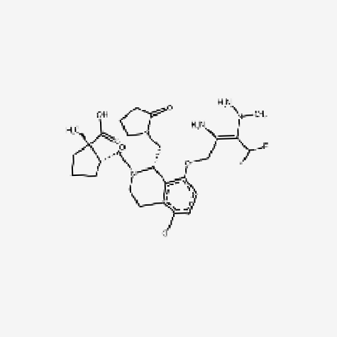 CN(N)/C(=C(\N)COc1ccc(Cl)c2c1[C@@H](CN1CCCC1=O)N(C(=O)[C@@H]1CCC[C@]1(C)C(=O)O)CC2)C(F)F